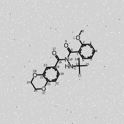 COc1ccccc1C(=O)N(NC(C)(C)C)C(=O)c1ccc2c(c1)OCCO2